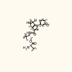 CC(C)[C@H](N)C(=O)OC[C@@H](NC(=O)c1nn(-c2c[n+]([O-])ccn2)c2c1C[C@@H]1C[C@H]21)C(C)(C)C